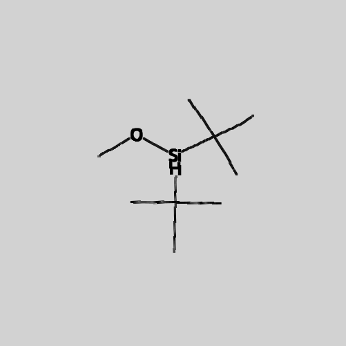 CO[SiH](C(C)(C)C)C(C)(C)C